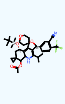 CC(=O)OC1C2NC(C(C)C)=C3C(=C2[C@@H](O[Si](C)(C)C(C)(C)C)CC12CC2)C1(CCOCC1)O[C@@H]3c1ccc(C(F)(F)F)c(C#N)c1